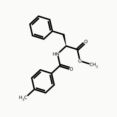 COC(=O)[C@H](Cc1ccccc1)NC(=O)c1ccc(C)cc1